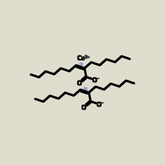 CCCCCC/C=C(/CCCCCC)C(=O)[O-].CCCCCC/C=C(/CCCCCC)C(=O)[O-].[Ca+2]